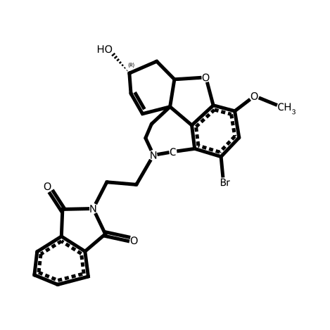 COc1cc(Br)c2c3c1OC1C[C@@H](O)C=CC31CCN(CCN1C(=O)c3ccccc3C1=O)C2